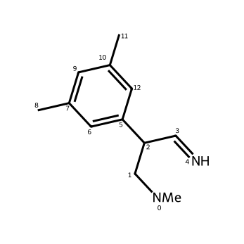 CNCC(C=N)c1cc(C)cc(C)c1